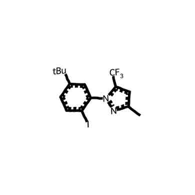 Cc1cc(C(F)(F)F)n(-c2cc(C(C)(C)C)ccc2I)n1